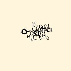 Cc1nc(NC(=O)C(Cl)Cl)c(C)c(C)c1OCc1ccccc1